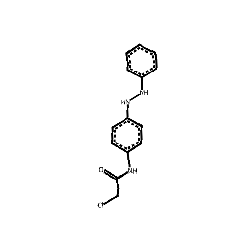 O=C(CCl)Nc1ccc(NNc2ccccc2)cc1